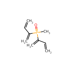 C=CC(=C)P(C)(=O)C(=C)C=C